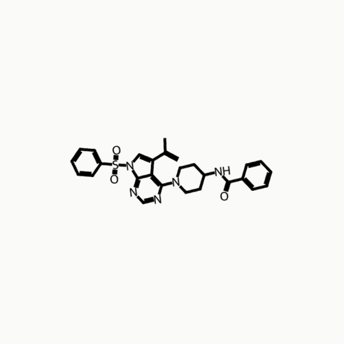 C=C(C)c1cn(S(=O)(=O)c2ccccc2)c2ncnc(N3CCC(NC(=O)c4ccccc4)CC3)c12